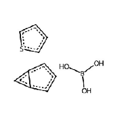 OB(O)O.c1cc2cc-2c1.c1ccsc1